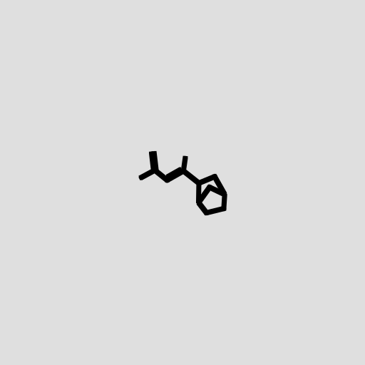 C=C(C)C=C(C)C1CC2CCC1C2